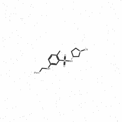 CCCC(C)CNc1ccc(C)c(S(=O)(=O)N[C@@H]2CCN(C#N)C2)c1